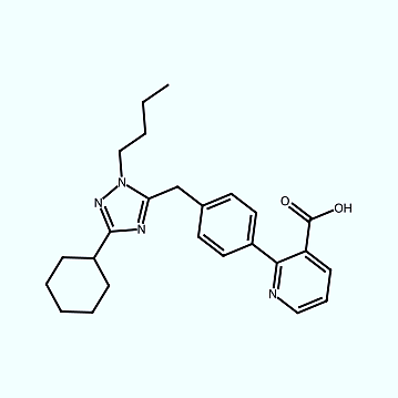 CCCCn1nc(C2CCCCC2)nc1Cc1ccc(-c2ncccc2C(=O)O)cc1